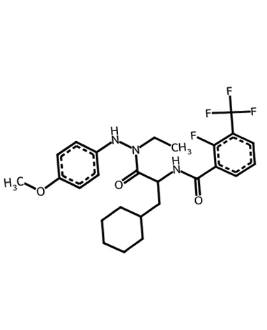 CCN(Nc1ccc(OC)cc1)C(=O)C(CC1CCCCC1)NC(=O)c1cccc(C(F)(F)F)c1F